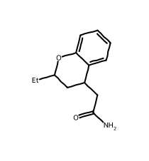 CCC1CC(CC(N)=O)c2ccccc2O1